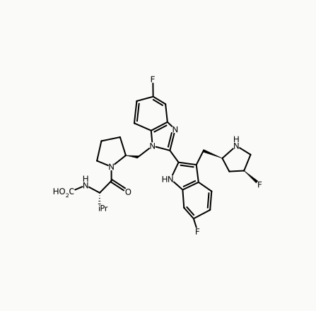 CC(C)[C@H](NC(=O)O)C(=O)N1CCC[C@H]1Cn1c(-c2[nH]c3cc(F)ccc3c2C[C@@H]2C[C@H](F)CN2)nc2cc(F)ccc21